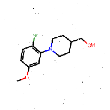 COc1ccc(Br)c(N2CCC(CO)CC2)c1